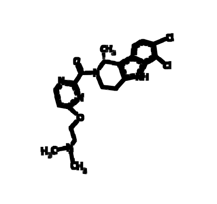 C[C@@H]1c2c([nH]c3c(Cl)c(Cl)ccc23)CCN1C(=O)c1nccc(OCCN(C)C)n1